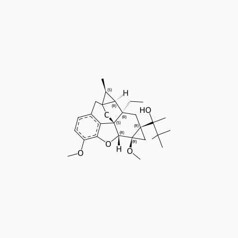 CC[C@]12C[C@]3(C(C)(O)C(C)(C)C)C[C@]3(OC)[C@@H]3Oc4c(OC)ccc5c4[C@@]31CC1(C5)[C@H]2[C@@H]1C